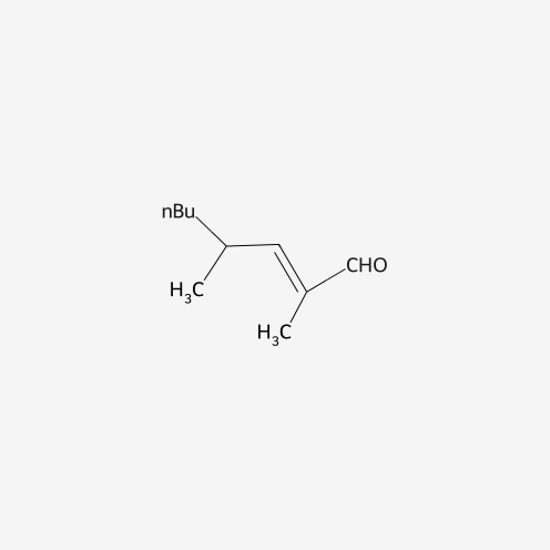 CCCCC(C)C=C(C)C=O